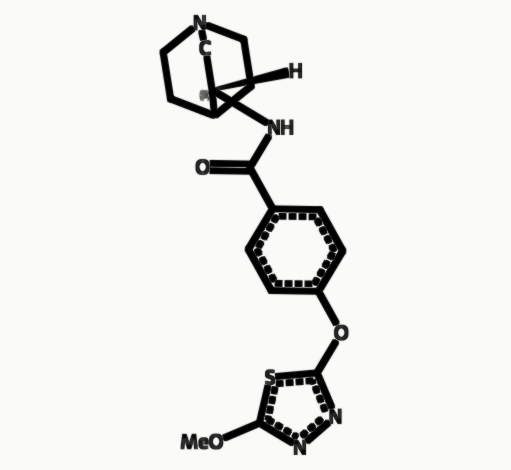 COc1nnc(Oc2ccc(C(=O)N[C@H]3CN4CCC3CC4)cc2)s1